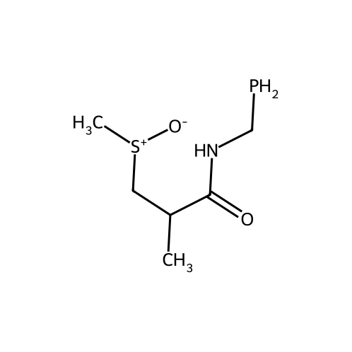 CC(C[S+](C)[O-])C(=O)NCP